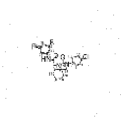 O=C(CN1C(=O)N(c2ccc(Cl)cc2)CC12CCCCC2)Nc1cc(F)cc(F)c1